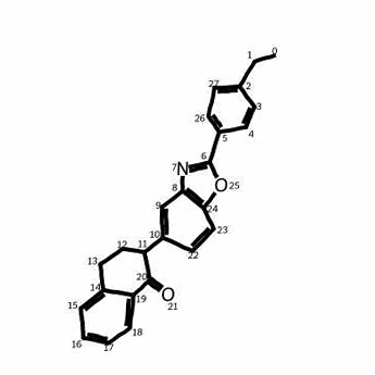 CCc1ccc(-c2nc3cc(C4CCc5ccccc5C4=O)ccc3o2)cc1